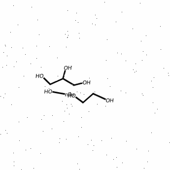 CCCCO.OCC(O)CO.OCCO